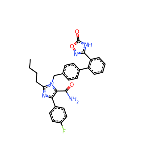 CCCCc1nc(-c2ccc(F)cc2)c(C(N)=O)n1Cc1ccc(-c2ccccc2-c2noc(=O)[nH]2)cc1